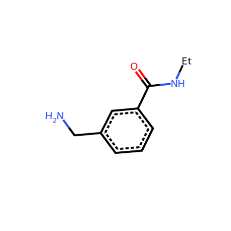 CCNC(=O)c1cccc(CN)c1